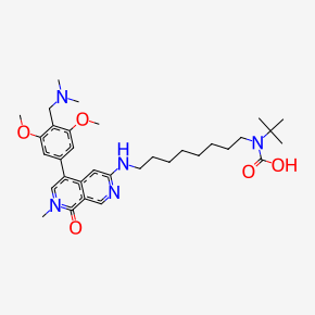 COc1cc(-c2cn(C)c(=O)c3cnc(NCCCCCCCCN(C(=O)O)C(C)(C)C)cc23)cc(OC)c1CN(C)C